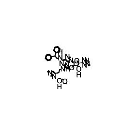 Cn1cnc(CCNc2nc(NCC(c3ccccc3)c3ccccc3)c3ncn([C@@H]4O[C@H](c5nnn(C)n5)[C@@H](O)[C@H]4O)c3n2)c1.O=CO